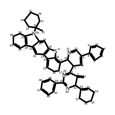 C=C1C(C2C=C(c3ccccc3)C=NC2C2=c3sc4cc5c(cc4c3=CCC2)c2c(n5C3(C)CCCCC3)CCC=C2)=NC(c2ccccc2)=NC1C1=CCCCC1